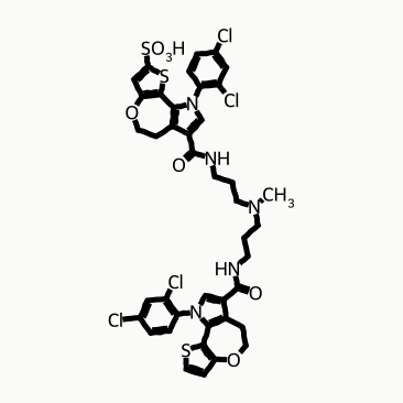 CN(CCCNC(=O)c1cn(-c2ccc(Cl)cc2Cl)c2c1CCOc1ccsc1-2)CCCNC(=O)c1cn(-c2ccc(Cl)cc2Cl)c2c1CCOc1cc(S(=O)(=O)O)sc1-2